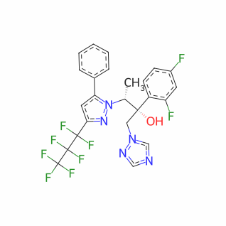 C[C@@H](n1nc(C(F)(F)C(F)(F)C(F)(F)F)cc1-c1ccccc1)[C@](O)(Cn1cncn1)c1ccc(F)cc1F